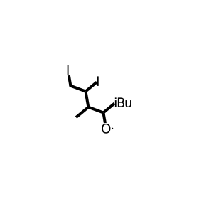 CCC(C)C([O])C(C)C(I)CI